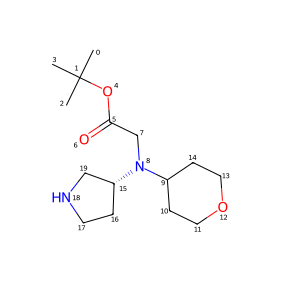 CC(C)(C)OC(=O)CN(C1CCOCC1)[C@@H]1CCNC1